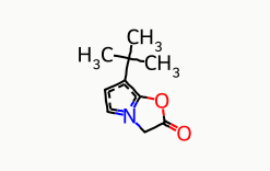 CC(C)(C)c1ccn2c1OC(=O)C2